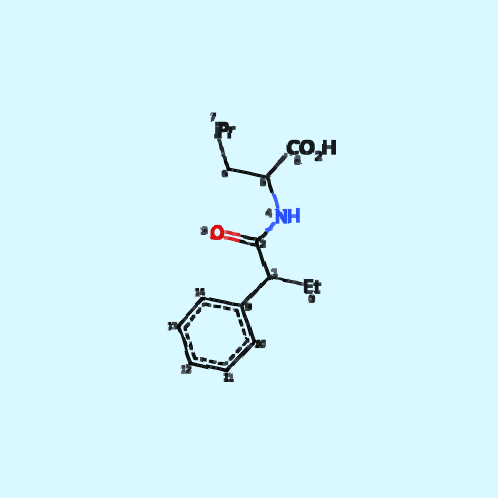 CCC(C(=O)NC(CC(C)C)C(=O)O)c1ccccc1